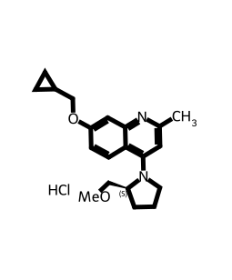 COC[C@@H]1CCCN1c1cc(C)nc2cc(OCC3CC3)ccc12.Cl